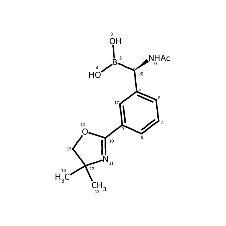 CC(=O)N[C@H](B(O)O)c1cccc(C2=NC(C)(C)CO2)c1